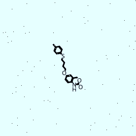 Cc1ccc(SCCCCOc2ccc3c(c2)COC(=O)N3)cc1